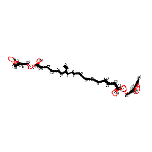 C=CC(CC/C=C/CCCCCCC(=O)OCC1CO1)CCCCCC(=O)OCC1CO1